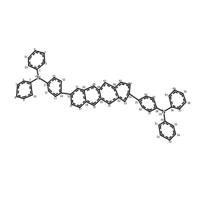 c1ccc(N(c2ccccc2)c2ccc(-c3ccc4cc5cc6cc(-c7ccc(N(c8ccccc8)c8ccccc8)cc7)ccc6cc5cc4c3)cc2)cc1